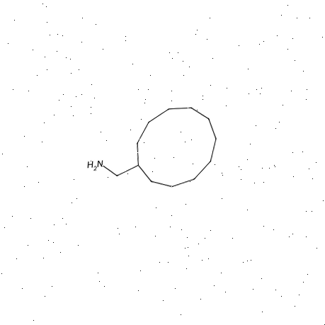 NCC1CCCCCCCCCC1